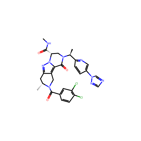 CNC(=O)[C@@H]1CN([C@@H](C)c2ccc(-n3cncn3)cn2)C(=O)c2c3c(nn21)C[C@@H](C)N(C(=O)c1ccc(Cl)c(Cl)c1)C3